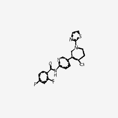 O=C(Nc1ccc(C2=C(Cl)CCN(c3nccs3)C2)cn1)c1ccc(F)cc1F